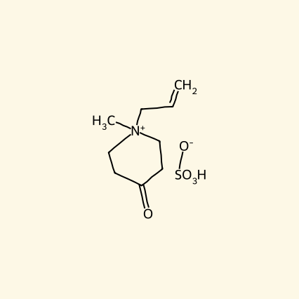 C=CC[N+]1(C)CCC(=O)CC1.O=S(=O)([O-])O